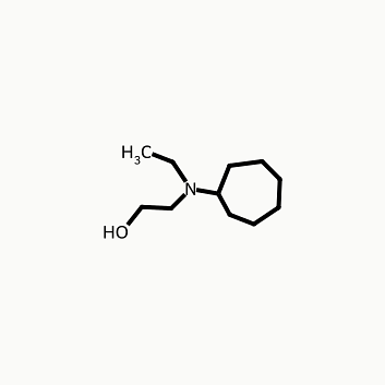 CCN(CCO)C1CCCCCC1